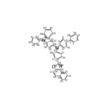 c1ccc(-c2ccc(N(c3ccc(-c4nc5c(ccc6ccccc65)o4)cc3)c3ccc4c(c3)c3ccccc3n4-c3ccccc3)cc2)cc1